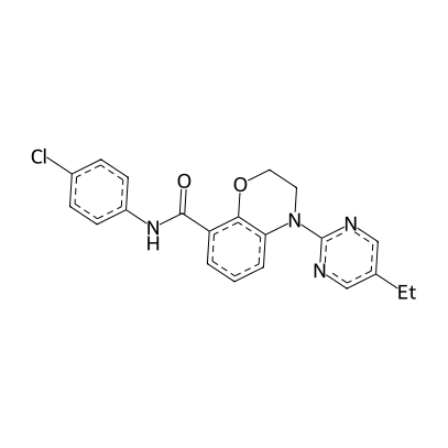 CCc1cnc(N2CCOc3c(C(=O)Nc4ccc(Cl)cc4)cccc32)nc1